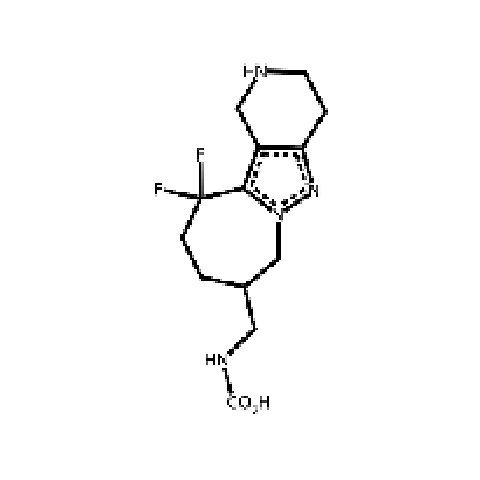 O=C(O)NCC1CCC(F)(F)c2c3c(nn2C1)CCNC3